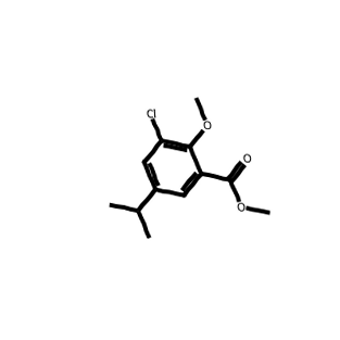 COC(=O)c1cc(C(C)C)cc(Cl)c1OC